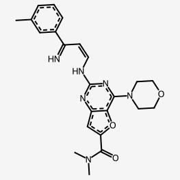 Cc1cccc(C(=N)/C=C\Nc2nc(N3CCOCC3)c3oc(C(=O)N(C)C)cc3n2)c1